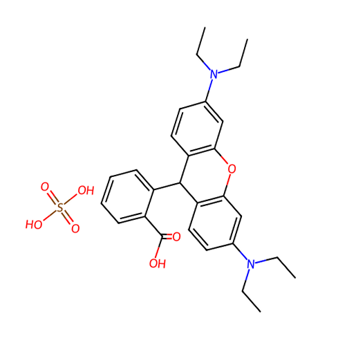 CCN(CC)c1ccc2c(c1)Oc1cc(N(CC)CC)ccc1C2c1ccccc1C(=O)O.O=S(=O)(O)O